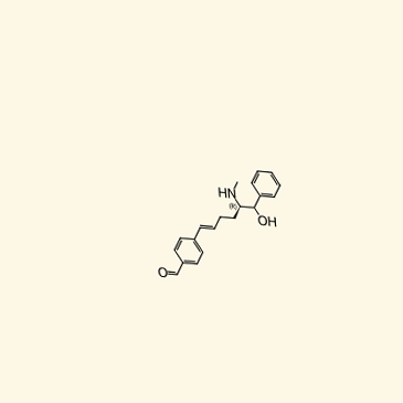 CN[C@H](CCC=Cc1ccc(C=O)cc1)C(O)c1ccccc1